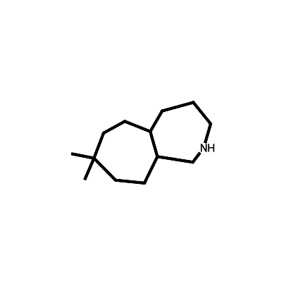 CC1(C)CCC2CCCNCC2CC1